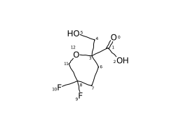 O=C(O)C1(CO)CCC(F)(F)CO1